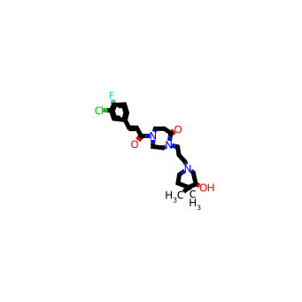 CC1(C)CCN(CCCN2CCN(C(=O)C=Cc3ccc(F)c(Cl)c3)CCC2=O)CC1O